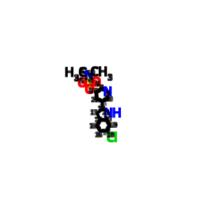 CN(C)S(=O)(=O)Oc1cncc(C2Cc3ccc(Cl)cc3N2)c1